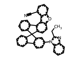 CCc1nc2ccccc2n1-c1ccc2c(c1)C1(c3ccccc3-2)c2ccccc2-c2c1ccc1oc3cccc(C#N)c3c21